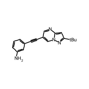 CC(C)(C)c1cc2ncc(C#Cc3cccc(N)c3)cn2n1